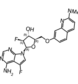 CNc1ccc2ccc(OC[C@H]3O[C@@H](n4cc(F)c5c(N)ncnc54)[C@@H](F)[C@@H]3O)cc2n1